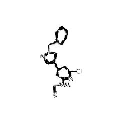 S=CNc1cc(-c2cnn(Cc3ccccc3)c2)cc(Cl)n1